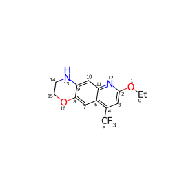 CCOc1cc(C(F)(F)F)c2cc3c(cc2n1)NCCO3